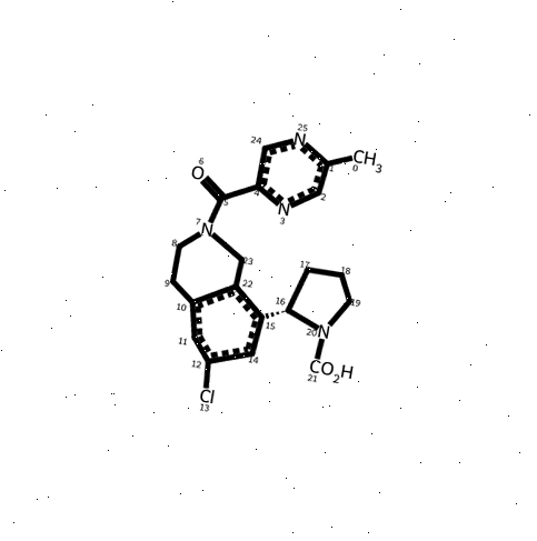 Cc1cnc(C(=O)N2CCc3cc(Cl)cc([C@@H]4CCCN4C(=O)O)c3C2)cn1